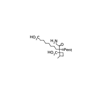 CCCCCC(CCCCCCCC(=O)O)(C(=O)CN)C1(C(=O)O)CCC1C